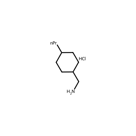 CCCC1CCC(CN)CC1.Cl